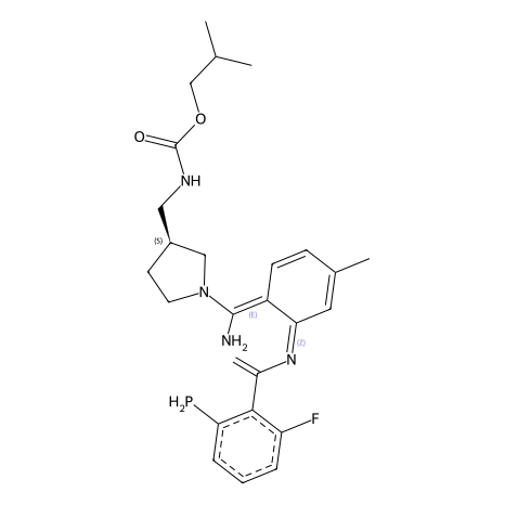 C=C(/N=C1/C=C(C)C=C/C1=C(/N)N1CC[C@@H](CNC(=O)OCC(C)C)C1)c1c(F)cccc1P